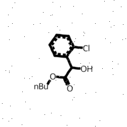 CCCCOC(=O)C(O)c1ccccc1Cl